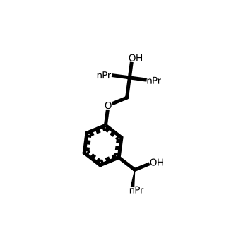 CCC[C@H](O)c1cccc(OCC(O)(CCC)CCC)c1